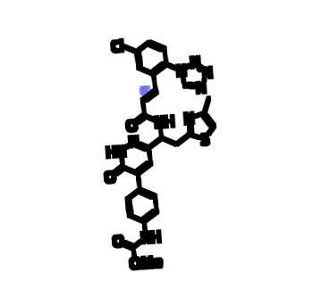 COC(=O)Nc1ccc(-c2cc(C(Cc3nc(C)cs3)NC(=O)/C=C/c3cc(Cl)ccc3-n3cnnn3)n[nH]c2=O)cc1